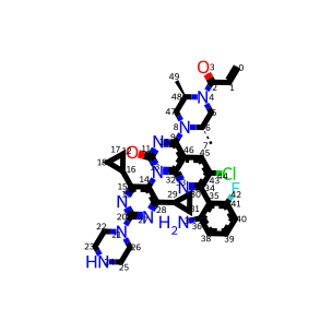 C=CC(=O)N1C[C@H](C)N(c2nc(=O)n(-c3c(C4CC4)nc(N4CCNCC4)nc3C3CC3)c3nc(-c4c(N)cccc4F)c(Cl)cc23)C[C@H]1C